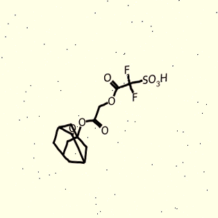 O=C(COC(=O)C(F)(F)S(=O)(=O)O)OC12CC3CC(C1)C(=O)C(C3)C2